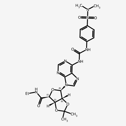 CCNC(=O)[C@H]1O[C@@H](n2cnc3c(NC(=O)Nc4ccc(S(=O)(=O)N(C)C)cc4)ncnc32)[C@@H]2OC(C)(C)O[C@@H]21